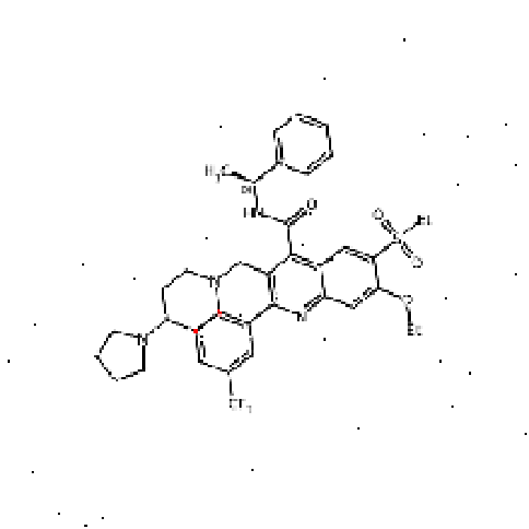 CCOc1cc2nc(-c3cccc(C(F)(F)F)c3)c(CN3CCC(N4CCCC4)CC3)c(C(=O)N[C@@H](C)c3ccccc3)c2cc1S(=O)(=O)CC